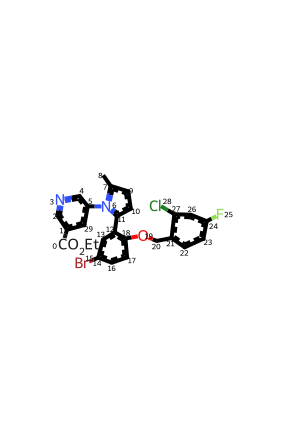 CCOC(=O)c1cncc(-n2c(C)ccc2-c2cc(Br)ccc2OCc2ccc(F)cc2Cl)c1